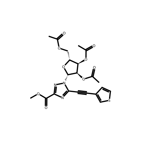 COC(=O)c1nc(C#Cc2ccsc2)n([C@@H]2O[C@H](COC(C)=O)[C@@H](OC(C)=O)[C@H]2OC(C)=O)n1